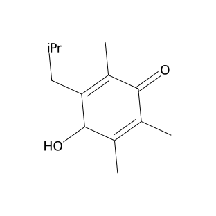 CC1=C(C)C(O)C(CC(C)C)=C(C)C1=O